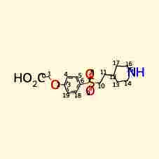 O=C(O)COc1ccc(S(=O)(=O)CCC2CCNCC2)cc1